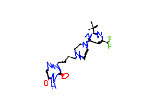 CC(C)(C)c1nc(C(F)F)cc(N2CCN(CCCCn3ncc(=O)[nH]c3=O)CC2)n1